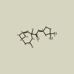 CCC1(CC)CC/C(=C/C(=O)C2(C)C=C3CC(C3)CC(C)C2)C1